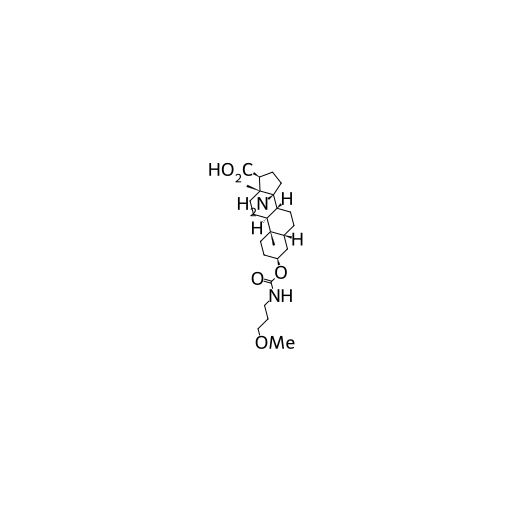 COCCCNC(=O)O[C@H]1CC[C@@]2(C)[C@H](CC[C@@H]3[C@@H]2CC[C@]2(C)[C@@H](C(=O)O)CC[C@]32N)C1